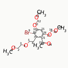 COCCOCCc1c(Br)c(OCOC)cc(OCOC)c1C(C)=O